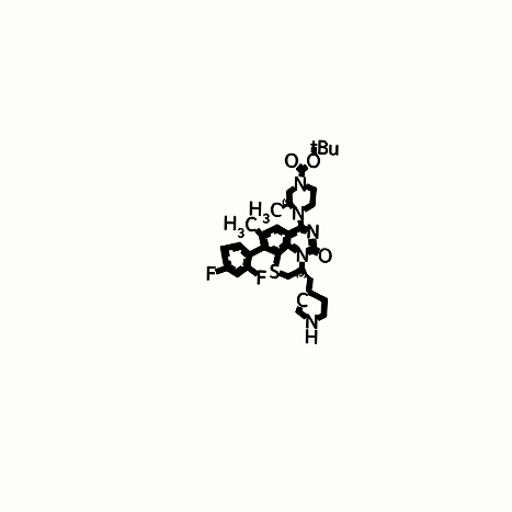 Cc1cc2c(N3CCN(C(=O)OC(C)(C)C)C[C@@H]3C)nc(=O)n3c2c(c1-c1ccc(F)cc1F)SC[C@@H]3CC1CCNCC1